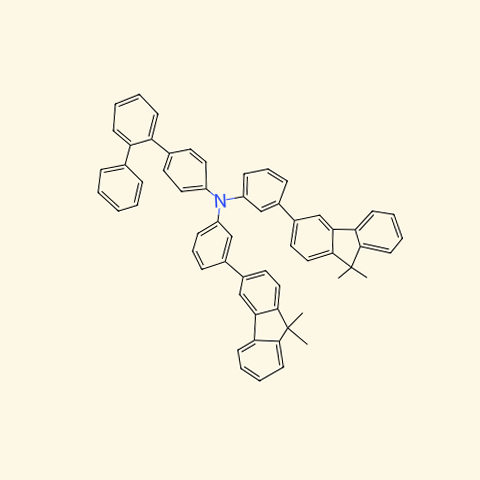 CC1(C)c2ccccc2-c2cc(-c3cccc(N(c4ccc(-c5ccccc5-c5ccccc5)cc4)c4cccc(-c5ccc6c(c5)-c5ccccc5C6(C)C)c4)c3)ccc21